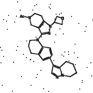 CC(=O)N1CCc2c(c(N3CCCc4cc(-c5cnn6c5CCCC6)ccc43)nn2C2COC2)C1